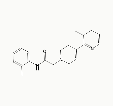 Cc1ccccc1NC(=O)CN1CC=C(C2=NC=CCC2C)CC1